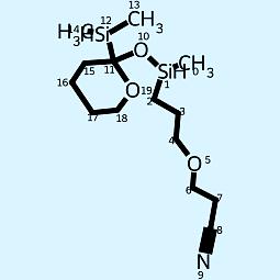 C[SiH](CCCOCCC#N)OC1([SiH](C)C)CCCCO1